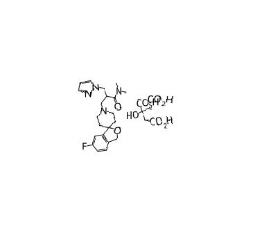 CN(C)C(=O)C(CN1CCC2(CC1)OCc1ccc(F)cc12)Cn1cccn1.O=C(O)CC(O)(CC(=O)O)C(=O)O